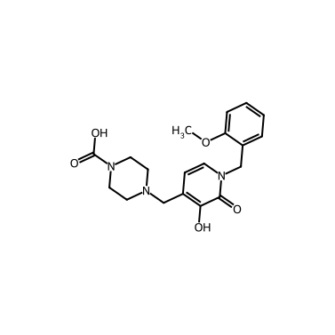 COc1ccccc1Cn1ccc(CN2CCN(C(=O)O)CC2)c(O)c1=O